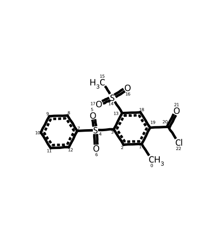 Cc1cc(S(=O)(=O)c2ccccc2)c(S(C)(=O)=O)cc1C(=O)Cl